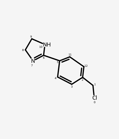 ClCc1ccc(C2=NCCN2)cc1